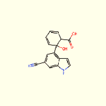 N#Cc1cc(C2(O)C=CC=CC2C(=O)O)c2cc[nH]c2c1